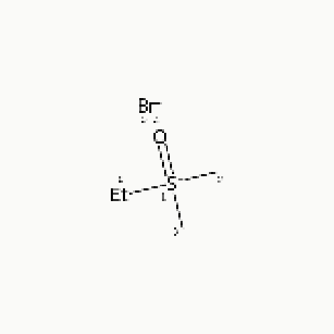 CC[S+](C)(C)=O.[Br-]